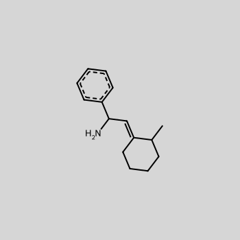 CC1CCCCC1=CC(N)c1ccccc1